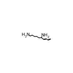 C=CC=CC(N)CCCCCN